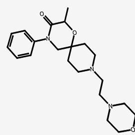 CC1OC2(CCN(CCN3CCOCC3)CC2)CN(c2ccccc2)C1=O